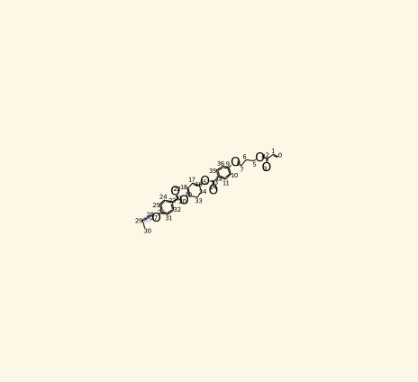 C=CC(=O)OCCCOc1ccc(C(=O)OC2=CC=C(OC(=O)c3ccc(O/C=C\C)cc3)CC2)cc1